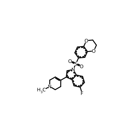 CN1CC=C(c2cn(S(=O)(=O)c3ccc4c(c3)OCCO4)c3ccc(F)cc23)CC1